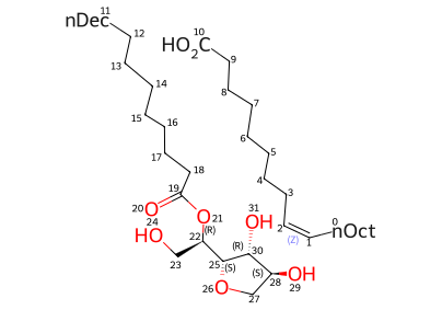 CCCCCCCC/C=C\CCCCCCCC(=O)O.CCCCCCCCCCCCCCCCCC(=O)O[C@H](CO)[C@H]1OC[C@H](O)[C@H]1O